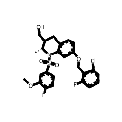 COc1cc(S(=O)(=O)N2c3cc(OCc4c(F)cccc4Cl)ccc3CC(CO)[C@H]2C)ccc1F